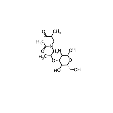 CC(=O)N(CC(C)[C]=O)CC(C)O[C@@H]1[C@@H](N)[C@@H](O)O[C@H](CO)[C@H]1O